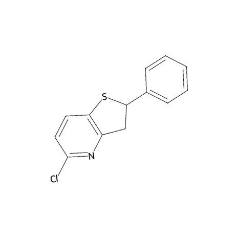 Clc1ccc2c(n1)CC(c1ccccc1)S2